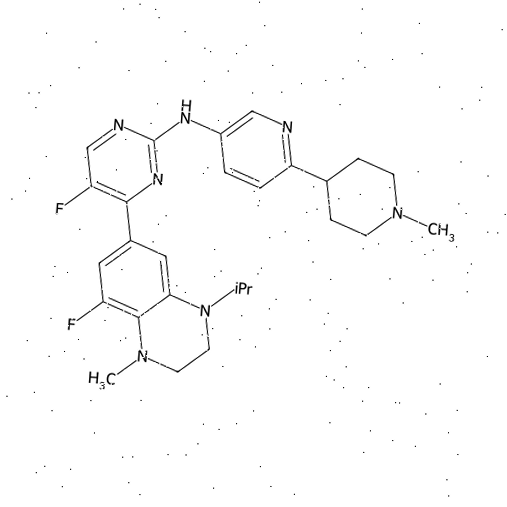 CC(C)N1CCN(C)c2c(F)cc(-c3nc(Nc4ccc(C5CCN(C)CC5)nc4)ncc3F)cc21